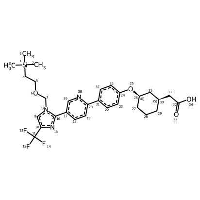 C[Si](C)(C)CCOCn1cc(C(F)(F)F)nc1-c1ccc(-c2ccc(O[C@@H]3CCC[C@H](CC(=O)O)C3)cc2)nc1